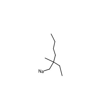 CCCCC(C)(CC)[CH2][Na]